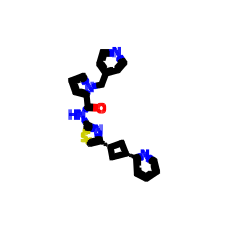 O=C(Nc1nc([C@H]2C[C@@H](c3ccccn3)C2)cs1)c1cccn1Cc1ccncc1